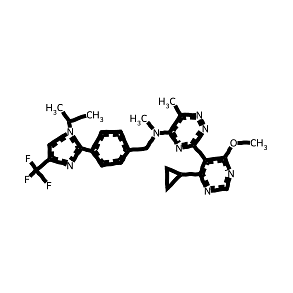 COc1ncnc(C2CC2)c1-c1nnc(C)c(N(C)Cc2ccc(-c3nc(C(F)(F)F)cn3C(C)C)cc2)n1